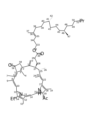 C=C1C2=C(C)/C(=C(C)\C(C)=C\C3=NC(=C\c4[nH]c(c(C)c4C(C)=O)/C=C(\C)[C@@H](C)[C@@H]1CCC(=O)OCC/C=C(\C)CCC[C@H](C)CCC[C@H](C)CCCC(C)C)/C(C)=C3CC)C(=O)C2